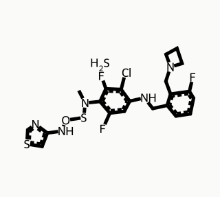 CN(SONc1cscn1)c1c(F)cc(NCc2cccc(F)c2CN2CCC2)c(Cl)c1F.S